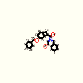 O=CCN(Cc1ccccc1)C(=O)C1Cc2ccc(OCc3ccccc3)cc21